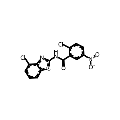 O=C(Nc1nc2c(Cl)cccc2s1)c1cc([N+](=O)[O-])ccc1Cl